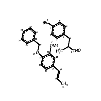 CC(C=O)Cc1ccc(C(C)(C)C)cc1.CC=Cc1ccc(OCc2ccccc2)c(OC)c1